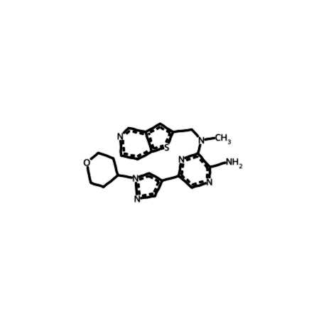 CN(Cc1cc2cnccc2s1)c1nc(-c2cnn(C3CCOCC3)c2)cnc1N